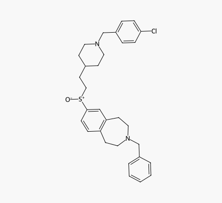 [O-][S+](CCC1CCN(Cc2ccc(Cl)cc2)CC1)c1ccc2c(c1)CCN(Cc1ccccc1)CC2